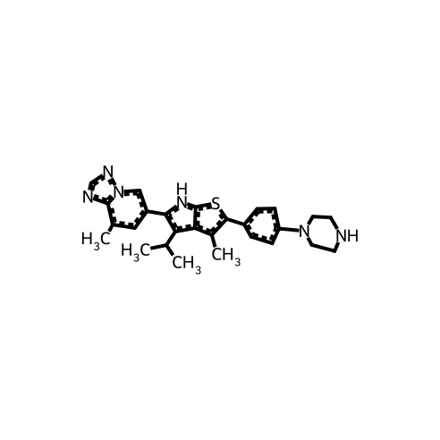 Cc1c(-c2ccc(N3CCNCC3)cc2)sc2[nH]c(-c3cc(C)c4ncnn4c3)c(C(C)C)c12